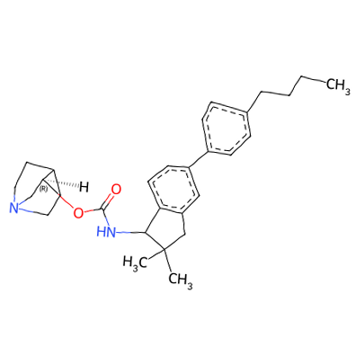 CCCCc1ccc(-c2ccc3c(c2)CC(C)(C)C3NC(=O)O[C@H]2CN3CCC2CC3)cc1